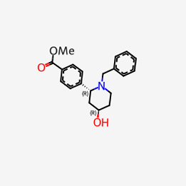 COC(=O)c1ccc([C@H]2C[C@H](O)CCN2Cc2ccccc2)cc1